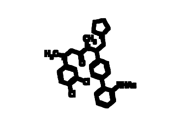 CC(=O)Nc1ccccc1-c1ccc(C(CN2CCCC2)N(C)C(=O)CN(C)c2ccc(Cl)c(Cl)c2)cc1